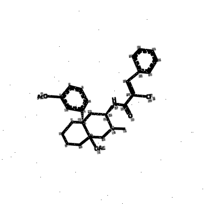 CC(=O)Oc1cccc([C@@]23CCCCC2(OC(C)=O)CN(C)[C@H](NC(=O)C(=Cc2ccccc2)C(F)(F)F)C3)c1